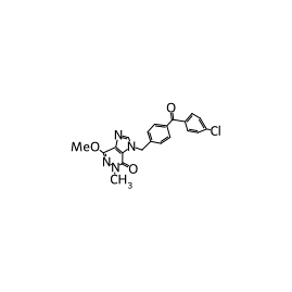 COc1nn(C)c(=O)c2c1ncn2Cc1ccc(C(=O)c2ccc(Cl)cc2)cc1